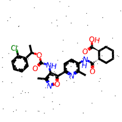 Cc1nc(-c2onc(C)c2NC(=O)OC(C)c2ccccc2Cl)ccc1NC(=O)[C@H]1CCCC[C@@H]1C(=O)O